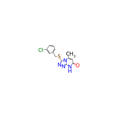 Cc1cc(=O)[nH]c2nnc(SCc3cccc(Cl)c3)n12